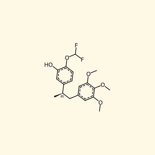 COc1cc(C[C@@H](C)c2ccc(OC(F)F)c(O)c2)cc(OC)c1OC